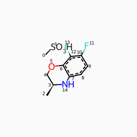 CS(=O)(=O)O.C[C@H]1COc2c(ccc(F)c2F)N1